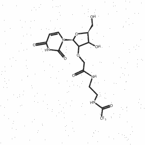 O=C(COC1C(O)[C@H](CO)O[C@@H]1n1ccc(=O)[nH]c1=O)NCCNC(=O)C(F)(F)F